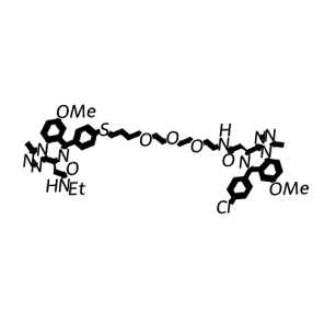 CCNC(=O)C[C@@H]1N=C(c2ccc(SCCCCOCCOCCOCCNC(=O)C[C@@H]3N=C(c4ccc(Cl)cc4)c4cc(OC)ccc4-n4c(C)nnc43)cc2)c2cc(OC)ccc2-n2c(C)nnc21